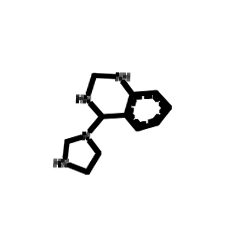 c1ccc2c(c1)NCNC2N1CCNC1